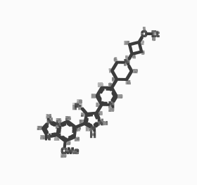 CCOC1CC(N2CCC(c3ccc(-c4n[nH]c(-c5cc(OC)c6ncnn6c5)c4C(C)C)nc3)CC2)C1